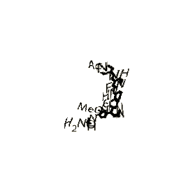 COc1nc(-c2ccnc(-c3cccc(Nc4nccc(CNC5CCN(C(C)=O)CC5)c4F)c3Cl)c2Cl)ccc1CNCC(N)=O